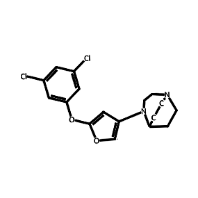 Clc1cc(Cl)cc(Oc2cc(N3CCN4CCC3CC4)[c]o2)c1